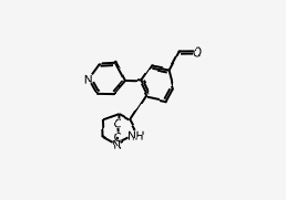 O=Cc1ccc(C2CNN3CCC2CC3)c(-c2ccncc2)c1